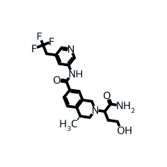 C[C@H]1CN(C(CCO)C(N)=O)Cc2cc(C(=O)Nc3cncc(CC(F)(F)F)c3)ccc21